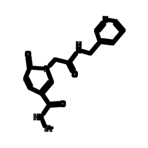 CC(C)NC(=O)c1ccc(=O)n(CC(=O)NCc2cccnc2)c1